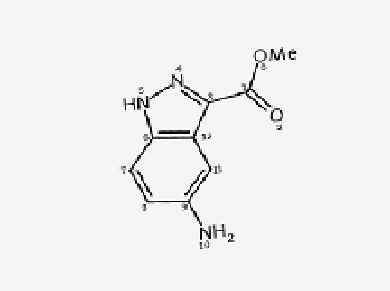 COC(=O)c1n[nH]c2ccc(N)cc12